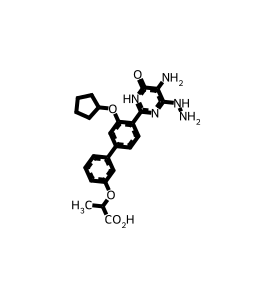 CC(Oc1cccc(-c2ccc(-c3nc(NN)c(N)c(=O)[nH]3)c(OC3CCCC3)c2)c1)C(=O)O